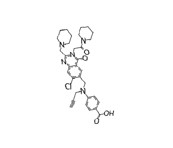 C#CCN(Cc1cc2c(=O)n(CC(=O)N3CCCCC3)c(CN3CCCCC3)nc2cc1Cl)c1ccc(C(=O)O)cc1